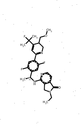 CCN1Cc2c(ccnc2N[C@@H](C)c2cc(F)c(C3=NCC(COC)C(C(C)(C)F)=C3)cc2F)C1=O